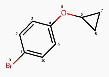 Brc1c[c]c(OC2CC2)cc1